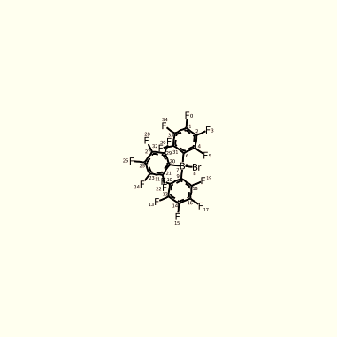 Fc1c(F)c(F)c([B-](Br)(c2c(F)c(F)c(F)c(F)c2F)c2c(F)c(F)c(F)c(F)c2F)c(F)c1F